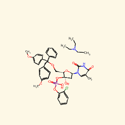 CCN(CC)CC.COc1ccc(C(OC[C@H]2O[C@@H](n3cc(C)c(=O)[nH]c3=O)C[C@@]2(O)OP(=O)(O)Oc2ccccc2Cl)(c2ccccc2)c2ccc(OC)cc2)cc1